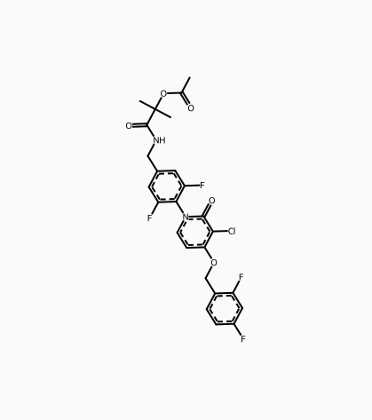 CC(=O)OC(C)(C)C(=O)NCc1cc(F)c(-n2ccc(OCc3ccc(F)cc3F)c(Cl)c2=O)c(F)c1